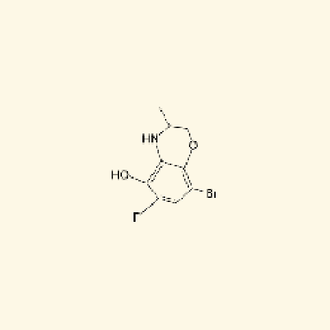 CC1COc2c(Br)cc(F)c(O)c2N1